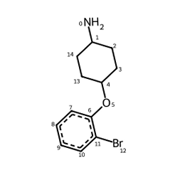 NC1CCC(Oc2ccccc2Br)CC1